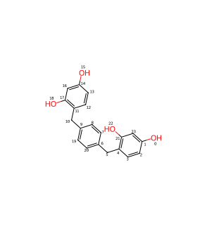 Oc1ccc(Cc2ccc(Cc3ccc(O)cc3O)cc2)c(O)c1